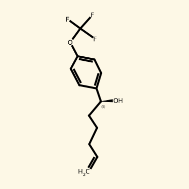 C=CCCC[C@H](O)c1ccc(OC(F)(F)F)cc1